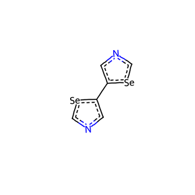 c1ncc(-c2cnc[se]2)[se]1